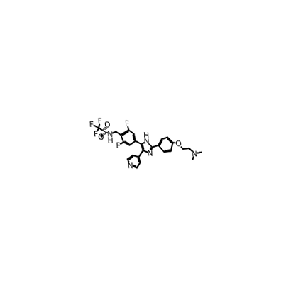 CN(C)CCOc1ccc(-c2nc(-c3ccncc3)c(-c3cc(F)c(CNS(=O)(=O)C(F)(F)F)c(F)c3)[nH]2)cc1